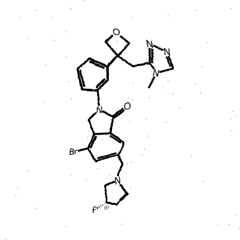 Cn1cnnc1CC1(c2cccc(N3Cc4c(Br)cc(CN5CC[C@H](F)C5)cc4C3=O)c2)COC1